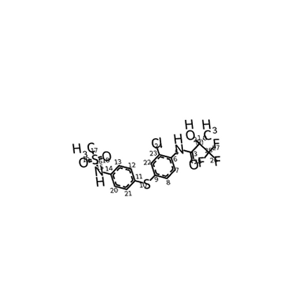 C[C@@](O)(C(=O)Nc1ccc(Sc2ccc(NS(C)(=O)=O)cc2)cc1Cl)C(F)(F)F